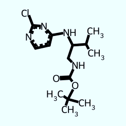 CC(C)C(CNC(=O)OC(C)(C)C)Nc1ccnc(Cl)n1